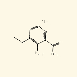 CCc1cccc(C(N)=O)c1N.N